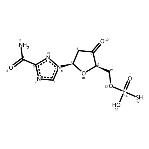 NC(=O)c1ncn([C@H]2CC(=O)[C@@H](COP(=O)(O)S)O2)n1